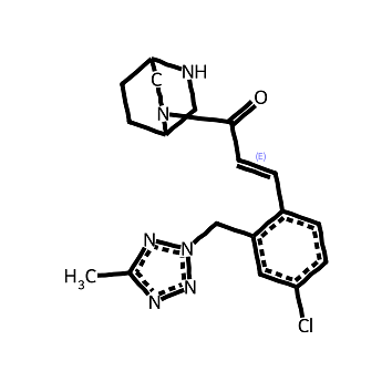 Cc1nnn(Cc2cc(Cl)ccc2/C=C/C(=O)N2CC3CCC2CN3)n1